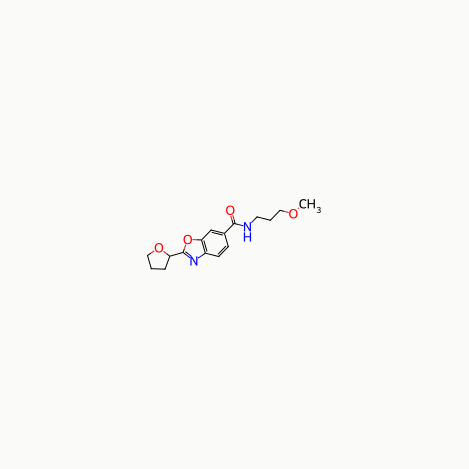 COCCCNC(=O)c1ccc2nc(C3CCCO3)oc2c1